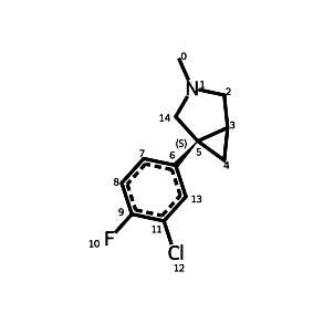 CN1CC2C[C@]2(c2ccc(F)c(Cl)c2)C1